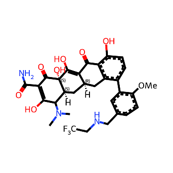 COc1ccc(CNCC(F)(F)F)cc1-c1ccc(O)c2c1C[C@H]1C[C@H]3C(N(C)C)C(O)=C(C(N)=O)C(=O)[C@@]3(O)C(O)=C1C2=O